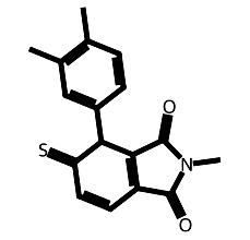 Cc1ccc(C2C(=S)C=CC3=C2C(=O)N(C)C3=O)cc1C